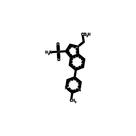 Cc1ncc(-c2ccc3c(c2)c(S(N)(=O)=O)cn3CC(=O)O)cn1